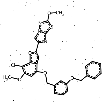 COc1nn2cc(-c3cc4c(OCc5cccc(OCc6ccccc6)c5)cc(OC)c(Cl)c4o3)nc2s1